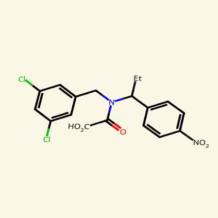 CCC(c1ccc([N+](=O)[O-])cc1)N(Cc1cc(Cl)cc(Cl)c1)C(=O)C(=O)O